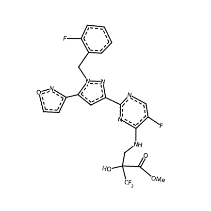 COC(=O)C(O)(CNc1nc(-c2cc(-c3ccon3)n(Cc3ccccc3F)n2)ncc1F)C(F)(F)F